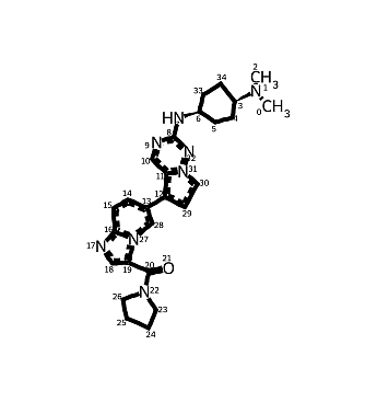 CN(C)[C@H]1CC[C@@H](Nc2ncc3c(-c4ccc5ncc(C(=O)N6CCCC6)n5c4)ccn3n2)CC1